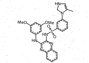 COc1cc(Nc2nc3ccccc3nc2NS(=O)(=O)c2cccc(N3CNC=C3C)c2)cc(OC)c1